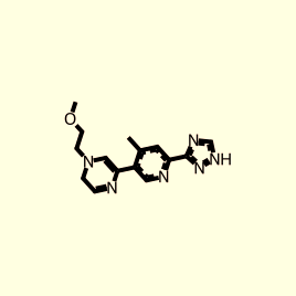 COCCN1C=C(c2cnc(-c3nc[nH]n3)cc2C)N=CC1